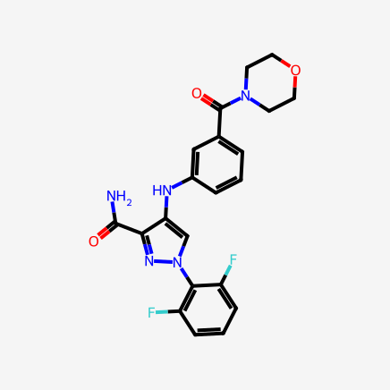 NC(=O)c1nn(-c2c(F)cccc2F)cc1Nc1cccc(C(=O)N2CCOCC2)c1